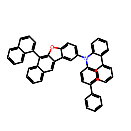 c1ccc(-c2ccc(N(c3ccc4oc5c(-c6cccc7ccccc67)c6ccccc6cc5c4c3)c3ccccc3-c3ccccc3)cc2)cc1